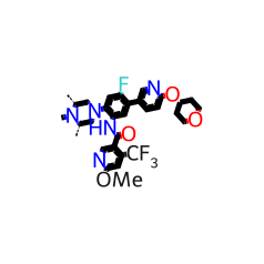 COc1cc(C(F)(F)F)c(C(=O)Nc2cc(-c3ccc(OC4CCOCC4)nc3)c(F)cc2N2C[C@@H](C)N(C)[C@@H](C)C2)cn1